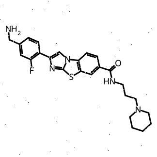 NCc1ccc(-c2cn3c(n2)sc2cc(C(=O)NCCCN4CCCCC4)ccc23)c(F)c1